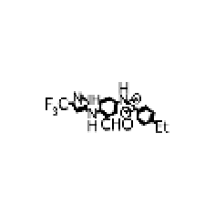 CCc1ccc(S(=O)(=O)Nc2ccc(Nc3cc(C(F)(F)F)n[nH]3)c(C=O)c2)cc1